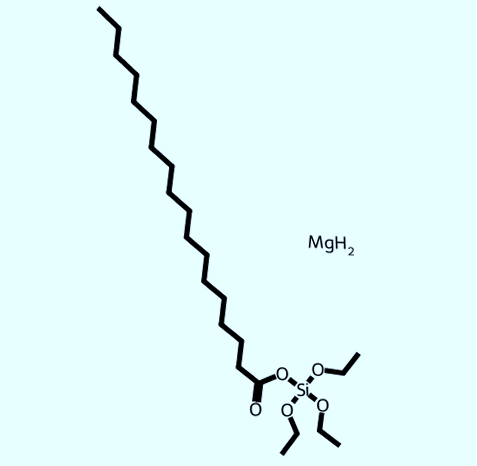 CCCCCCCCCCCCCCCCCC(=O)O[Si](OCC)(OCC)OCC.[MgH2]